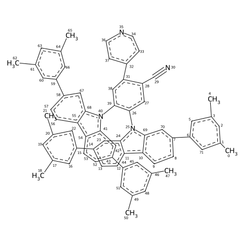 Cc1cc(C)cc(-c2ccc3c4ccc(-c5cc(C)cc(C)c5)cc4n(-c4cc(C#N)c(-c5ccncc5)cc4-n4c5cc(-c6cc(C)cc(C)c6)ccc5c5ccc(-c6cc(C)cc(C)c6)cc54)c3c2)c1